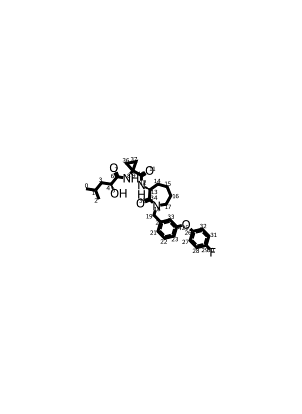 CC(C)C[C@H](O)C(=O)NC1(C(=O)N[C@H]2CCCCN(Cc3cccc(Oc4ccc(F)cc4)c3)C2=O)CC1